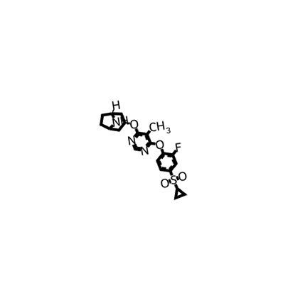 Cc1c(Oc2ccc(S(=O)(=O)C3CC3)cc2F)ncnc1O[C@H]1CC2CC[C@@H](C1)N2